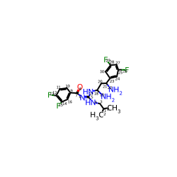 CC(C)CN/C(=N/C(=O)c1ccc(F)c(F)c1)NC(N)CC(N)c1cc(F)cc(F)c1